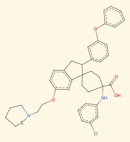 O=C(O)C1(Nc2cccc(Cl)c2)CCC2(CC1)c1cc(OCCN3CCCCC3)ccc1CC2c1cccc(Oc2ccccc2)c1